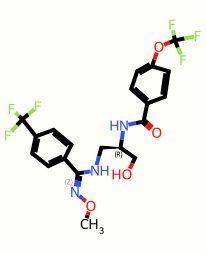 CO/N=C(\NC[C@H](CO)NC(=O)c1ccc(OC(F)(F)F)cc1)c1ccc(C(F)(F)F)cc1